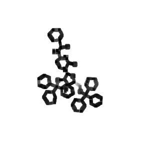 O=C(Nc1ccn([C@@H]2O[C@H](COC(c3ccccc3)(c3ccccc3)c3ccccc3)[C@H](F)[C@H]2OC(c2ccccc2)(c2ccccc2)c2ccccc2)c(=O)n1)c1ccccc1